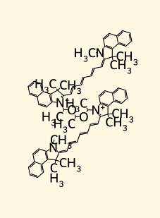 CC(OC(C)[N+]1=C(C=CC=CC=CC=C2N(C)c3ccc4ccccc4c3C2(C)C)C(C)(C)c2c1ccc1ccccc21)OC(C)[N+]1=C(C=CC=CC=CC=C2N(C)c3ccc4ccccc4c3C2(C)C)C(C)(C)c2c1ccc1ccccc21